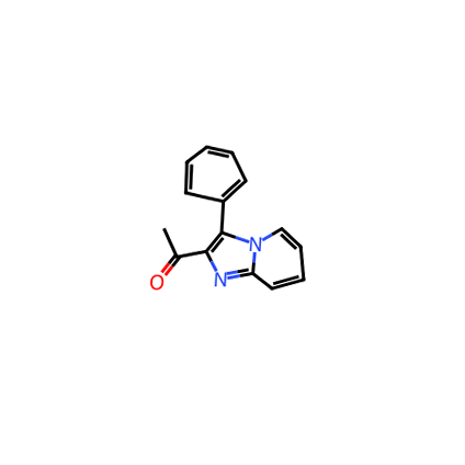 CC(=O)c1nc2ccccn2c1-c1ccccc1